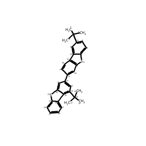 CC(C)(C)c1ccc2sc3cc(-c4cc(C(C)(C)C)c5c(c4)sc4ccccc45)ccc3c2c1